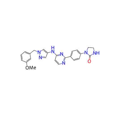 COc1cccc(Cn2cc(Nc3ccnc(-c4ccc(N5CCNC5=O)cc4)n3)cn2)c1